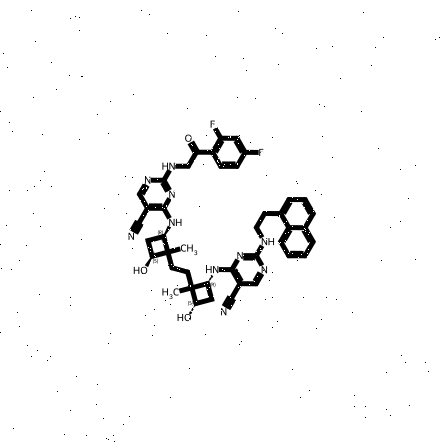 CC1(CCC2(C)[C@@H](O)C[C@H]2Nc2nc(NCC(=O)c3ccc(F)cc3F)ncc2C#N)[C@@H](O)C[C@H]1Nc1nc(NCCc2cccc3ccccc23)ncc1C#N